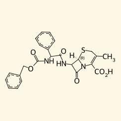 CC1=C(C(=O)O)N2C(=O)C(NC(=O)C(NC(=O)OCc3ccccc3)c3ccccc3)[C@H]2SC1